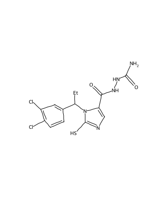 CCC(c1ccc(Cl)c(Cl)c1)n1c(C(=O)NNC(N)=O)cnc1S